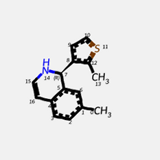 Cc1ccc2c(c1)[C@H](c1ccsc1C)NC=C2